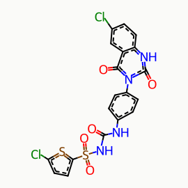 O=C(Nc1ccc(-n2c(=O)[nH]c3ccc(Cl)cc3c2=O)cc1)NS(=O)(=O)c1ccc(Cl)s1